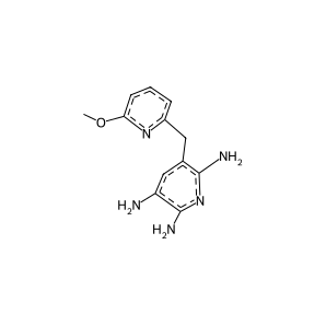 COc1cccc(Cc2cc(N)c(N)nc2N)n1